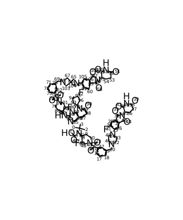 CC(C)(C)N(C(=O)O)[C@H]1CCN(S(=O)(=O)c2cccc(CN3CCN(c4cc5c(cc4F)C(=O)N(C4CCC(=O)NC4=O)C5=O)CC3)c2)C[C@H]1F.O=C1CCC(N2C(=O)c3cc(F)c(N4CC5(CN(Cc6cccc(S(=O)(=O)N7CC[C@H](Nc8ncc9ccc(=O)n(C%10CCCC%10)c9n8)[C@H](F)C7)c6)C5)C4)cc3C2=O)C(=O)N1